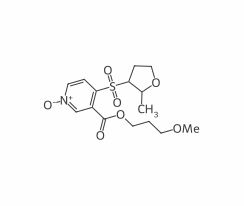 COCCCOC(=O)c1c[n+]([O-])ccc1S(=O)(=O)C1CCOC1C